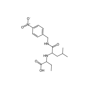 CCC(NC(CC(C)C)C(=O)NCc1ccc([N+](=O)[O-])cc1)C(=O)O